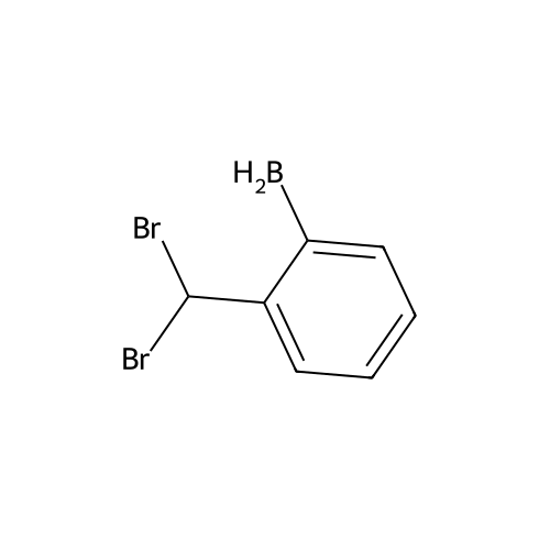 Bc1ccccc1C(Br)Br